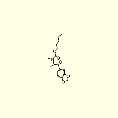 CCCCCOC(=O)N(C)C(C)C(=O)c1ccc2c(c1)OCO2